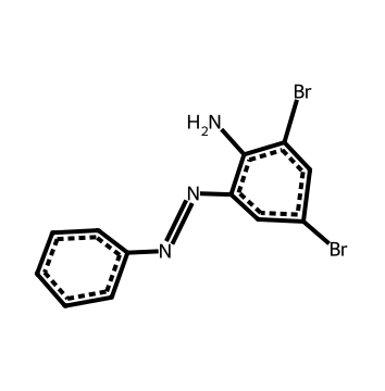 Nc1c(Br)cc(Br)cc1N=Nc1ccccc1